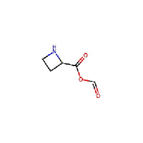 O=COC(=O)C1CCN1